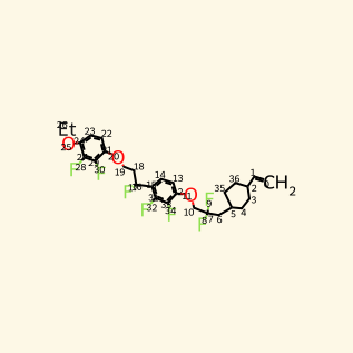 C=CC1CCC(CC(F)(F)COc2ccc(C(F)CCOc3ccc(OCC)c(F)c3F)c(F)c2F)CC1